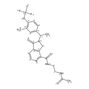 CC(=O)NCCNC(=O)c1nccc2c1CN(C(C)c1ccc(OC(F)(F)F)c(C)c1)C2=O